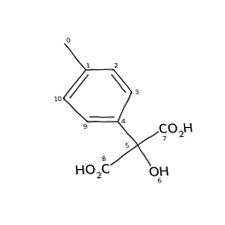 Cc1ccc(C(O)(C(=O)O)C(=O)O)cc1